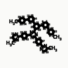 Cc1ccc(-c2cccc(-c3cc(-c4cccc(-c5ccc(C)cc5)c4)cc(-c4nc(-c5ccc(-c6nccc(C)n6)cc5)nc(-c5ccc(-c6nccc(C)n6)cc5)n4)c3)c2)cc1